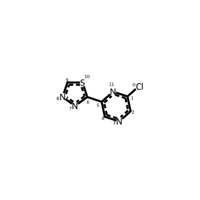 Clc1cncc(-c2nncs2)n1